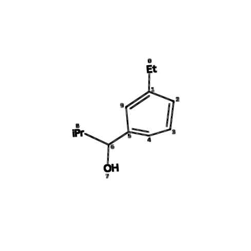 CCc1cccc(C(O)C(C)C)c1